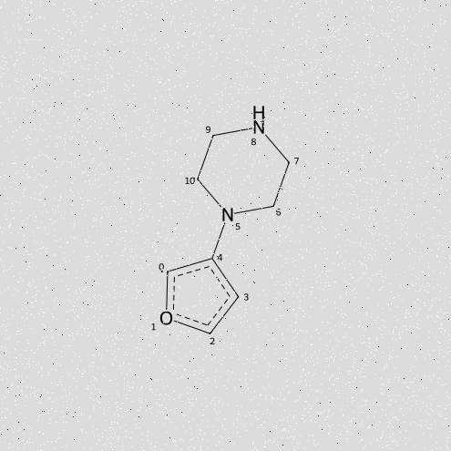 [c]1occc1N1CCNCC1